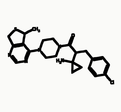 CC1SCc2ncnc(N3CCN(C(=O)C(Cc4ccc(Cl)cc4)C4(N)CC4)CC3)c21